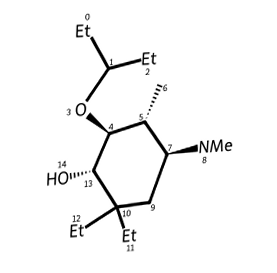 CCC(CC)O[C@H]1[C@H](C)[C@@H](NC)CC(CC)(CC)[C@@H]1O